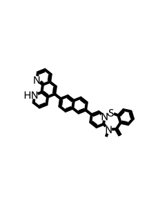 C=C1c2ccccc2SN2C=C(c3ccc4cc(-c5cc6cccnc6c6c5C=CCN6)ccc4c3)C=CC2N1C